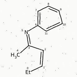 CC/C=C\C(C)=N/c1ccccc1